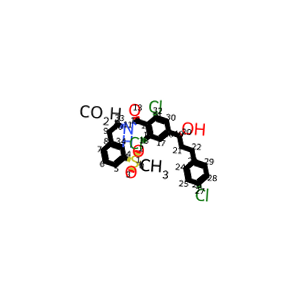 CS(=O)(=O)c1cccc(CC(NC(=O)c2c(Cl)cc(C(O)CCc3ccc(Cl)cc3)cc2Cl)C(=O)O)c1